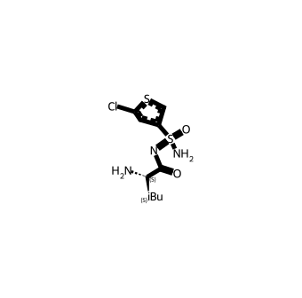 CC[C@H](C)[C@H](N)C(=O)N=S(N)(=O)c1csc(Cl)c1